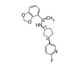 C[C@@H](N[C@H]1CC[C@@H](c2ccc(F)nc2)C1)c1cccc2c1OCO2